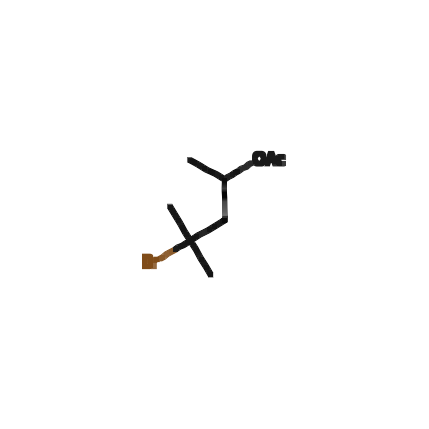 CC(=O)OC(C)CC(C)(C)Br